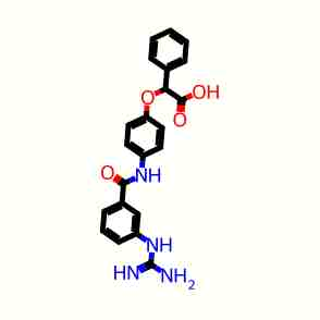 N=C(N)Nc1cccc(C(=O)Nc2ccc(OC(C(=O)O)c3ccccc3)cc2)c1